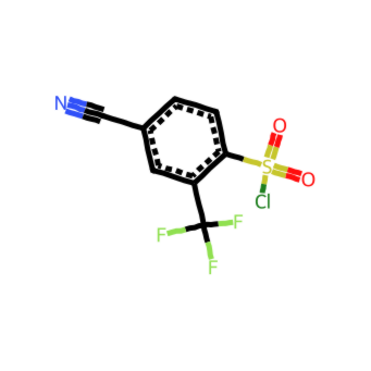 N#Cc1ccc(S(=O)(=O)Cl)c(C(F)(F)F)c1